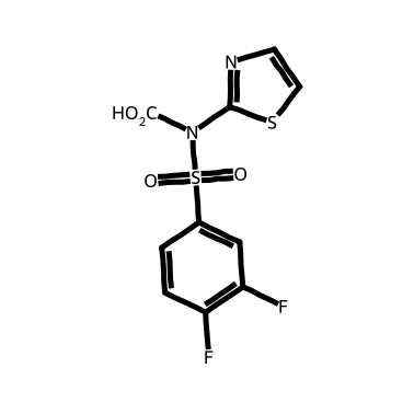 O=C(O)N(c1nccs1)S(=O)(=O)c1ccc(F)c(F)c1